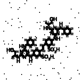 CC(CO)Nc1nc(Nc2ccccc2)nc(Nc2ccc(/C=C/c3ccc(Nc4nc(Nc5ccccc5)nc(NC(C)CO)n4)cc3S(=O)(=O)O)c(S(=O)(=O)O)c2)n1